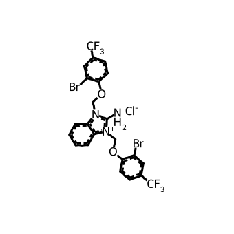 Nc1n(COc2ccc(C(F)(F)F)cc2Br)c2ccccc2[n+]1COc1ccc(C(F)(F)F)cc1Br.[Cl-]